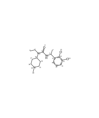 CCN(C(=O)NC(C)c1cccc(Cl)c1Cl)C1CCN(C)CC1